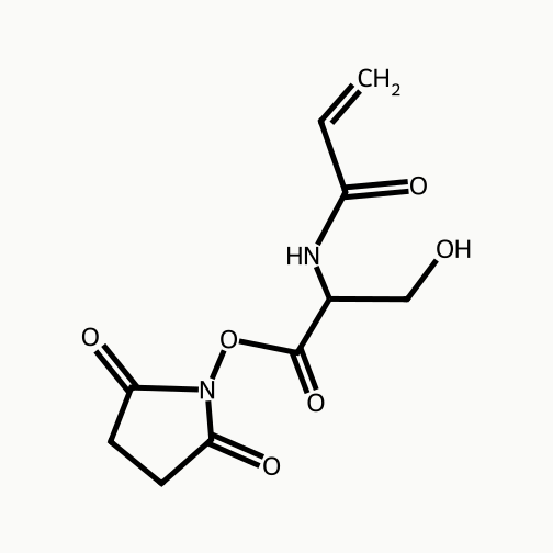 C=CC(=O)NC(CO)C(=O)ON1C(=O)CCC1=O